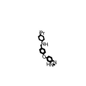 CC(C)C1CCC(NCc2ccc(Oc3ccc4nc[nH]c4c3)cc2)CC1